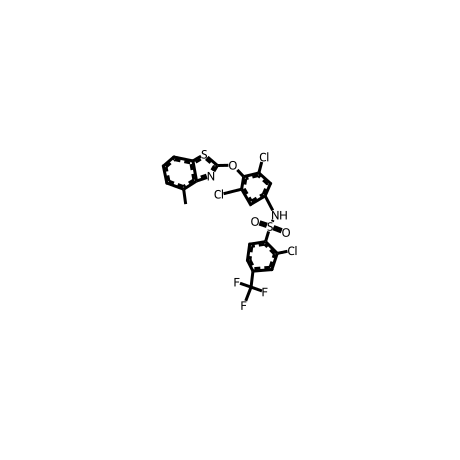 Cc1cccc2sc(Oc3c(Cl)cc(NS(=O)(=O)c4ccc(C(F)(F)F)cc4Cl)cc3Cl)nc12